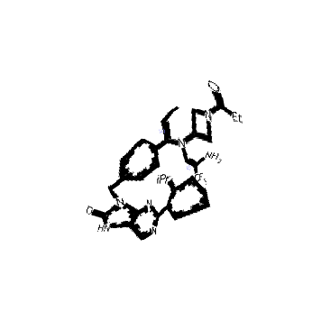 C/C=C(/c1ccc(Cn2c(=O)[nH]c3cnc(-c4ccccc4C(C)C)nc32)cc1)N(/C=C(\N)C(F)(F)F)C1CN(C(=O)CC)C1